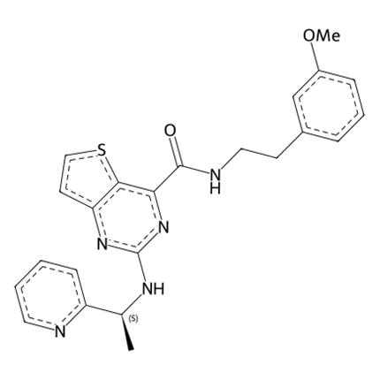 COc1cccc(CCNC(=O)c2nc(N[C@@H](C)c3ccccn3)nc3ccsc23)c1